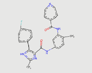 Cc1ccc(NC(=O)c2nc(C(F)(F)F)[nH]c2-c2ccc(F)cc2)cc1NC(=O)c1ccncc1